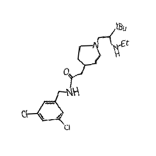 CCNC(CN1CCC(CC(=O)NCc2cc(Cl)cc(Cl)c2)CC1)C(C)(C)C